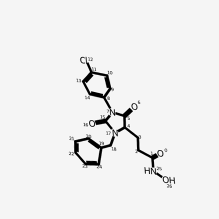 O=C(CCC1C(=O)N(c2ccc(Cl)cc2)C(=O)N1Cc1ccccc1)NO